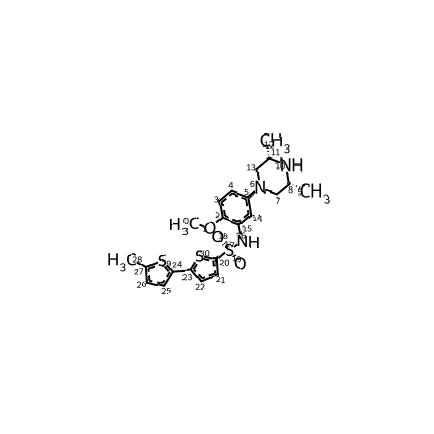 COc1ccc(N2C[C@@H](C)N[C@@H](C)C2)cc1NS(=O)(=O)c1ccc(-c2ccc(C)s2)s1